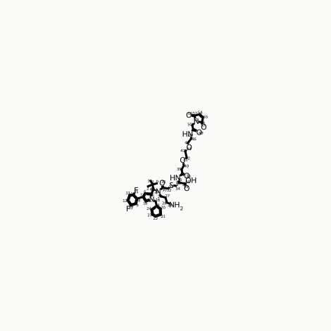 CC(C)(C)[C@H](c1cc(-c2cc(F)ccc2F)cn1Cc1ccccc1)N(CCCN)C(=O)CSC[C@H](NC(=O)CCOCCOCCNC(=O)CN1C(=O)C=CC1=O)C(=O)O